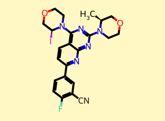 C[C@H]1COCCN1c1nc(N2CCOC[C@@H]2I)c2ccc(-c3ccc(F)c(C#N)c3)nc2n1